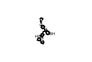 Oc1ccc2c(Cc3ccc(OC4CCCCC4N4CCCC4)c(O)c3)c(-c3ccc(OCCN4CCCC4)cc3)sc2c1